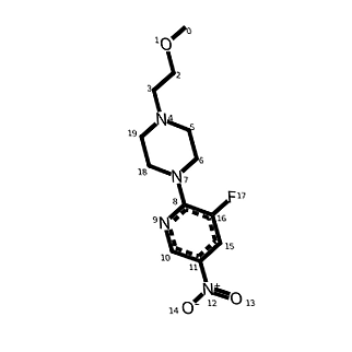 COCCN1CCN(c2ncc([N+](=O)[O-])cc2F)CC1